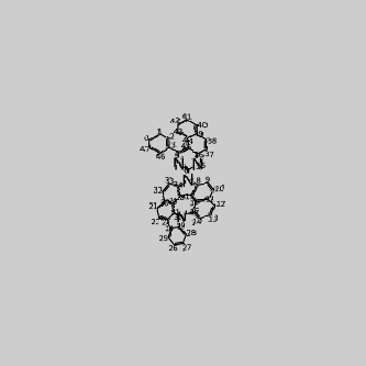 c1ccc(-c2nc(-n3c4ccc5cccc6c5c4c4c5c(ccc7c8ccccc8n6c75)ccc43)nc3ccc4ccccc4c23)cc1